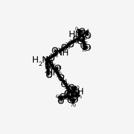 CC(=O)NC1C(OC(C)=O)CC(COC(C)=O)OC1OCCOCCOCCNC(=O)CCOCC(N)(COCCC=O)COCCC(=O)NCCOCCOCCOC1OC(COC(C)=O)C(OC(C)=O)C(OC(C)=O)C1NC(C)=O